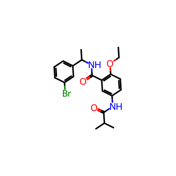 CCOc1ccc(NC(=O)C(C)C)cc1C(=O)NC(C)c1cccc(Br)c1